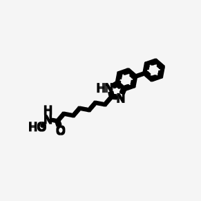 O=C(CCCCCCc1nc2cc(-c3ccccc3)ccc2[nH]1)NO